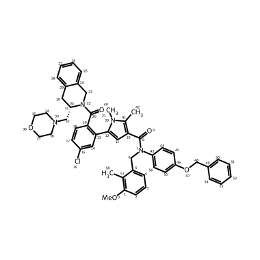 COc1cccc(CN(C(=O)c2cc(-c3cc(Cl)ccc3C(=O)N3Cc4ccccc4C[C@H]3CN3CCOCC3)n(C)c2C)c2ccc(OCc3ccccc3)cc2)c1C